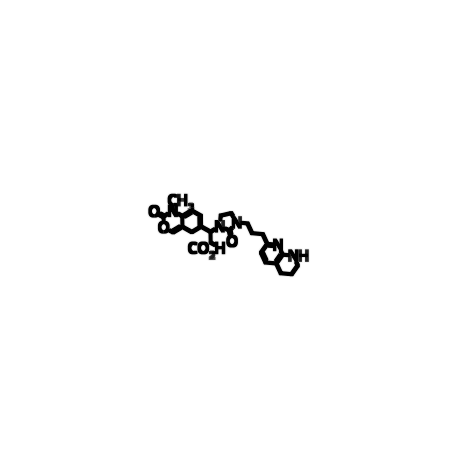 CN1C(=O)OC=C2CC(C(CC(=O)O)N3CCN(CCCc4ccc5c(n4)NCCC5)C3=O)=CC=C21